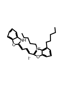 CCCCCc1cccc2oc(C=CC=C3Nc4ccccc4O3)[n+](CCCCC)c12.[I-]